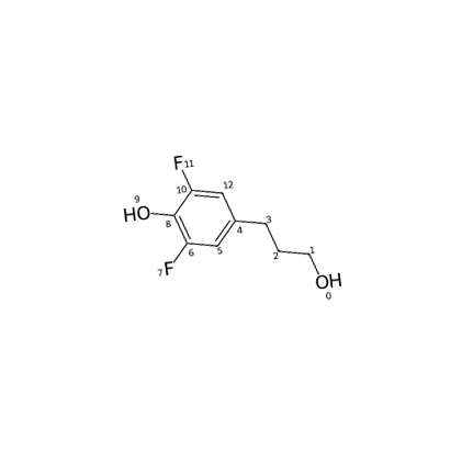 OCCCc1cc(F)c(O)c(F)c1